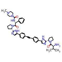 CC(C)[C@H](N)C(=O)N1CCC[C@H]1c1ncc(-c2ccc(C#Cc3ccc(-c4cnc([C@@H]5CCCN5C(=O)[C@H](NC(=O)N5CCN(C)CC5)c5ccccc5)[nH]4)cc3)cc2)[nH]1